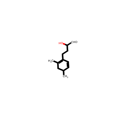 CC1=C(CCC(O)C=O)C=CC(C)C1